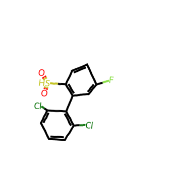 O=[SH](=O)c1ccc(F)cc1-c1c(Cl)cccc1Cl